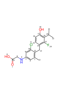 Cc1cc(NCC(=O)O)cc(Cl)c1Cc1ccc(O)c(C(C)C)c1F